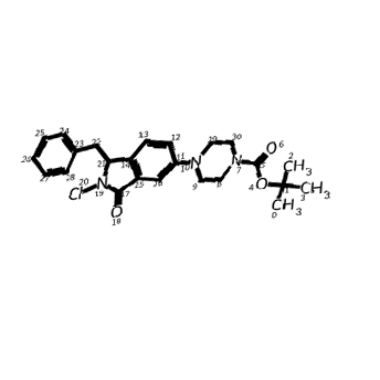 CC(C)(C)OC(=O)N1CCN(c2ccc3c(c2)C(=O)N(Cl)C3Cc2ccccc2)CC1